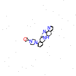 CN(C[C@H]1Cc2c(cccc2N2CCN(C3COC3)CC2)CN1)[C@H]1CCCc2cccnc21